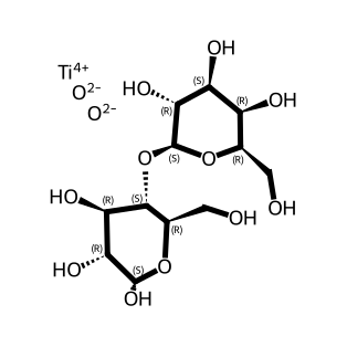 OC[C@H]1O[C@@H](O[C@H]2[C@H](O)[C@@H](O)[C@@H](O)O[C@@H]2CO)[C@H](O)[C@@H](O)[C@H]1O.[O-2].[O-2].[Ti+4]